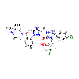 CC1(C)CN(C(=O)c2ccccc2-n2cnc(Cn3nc(-c4ccc(Cl)cc4)n(C[C@H](O)C(F)(F)F)c3=O)n2)CCN1